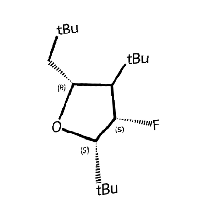 CC(C)(C)C[C@H]1O[C@@H](C(C)(C)C)[C@@H](F)C1C(C)(C)C